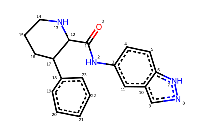 O=C(Nc1ccc2[nH]ncc2c1)C1NCCCC1c1ccccc1